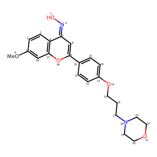 COc1ccc2/c(=N\O)cc(-c3ccc(OCCCN4CCOCC4)cc3)oc2c1